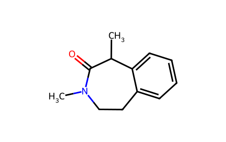 CC1C(=O)N(C)CCc2ccccc21